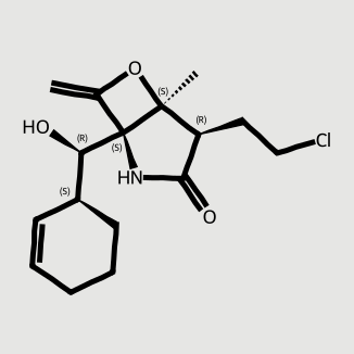 C=C1O[C@@]2(C)[C@@H](CCCl)C(=O)N[C@@]12[C@H](O)[C@@H]1C=CCCC1